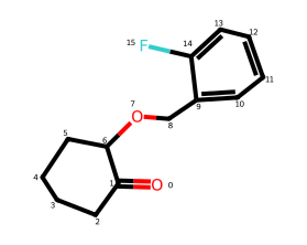 O=C1CCCCC1OCc1ccccc1F